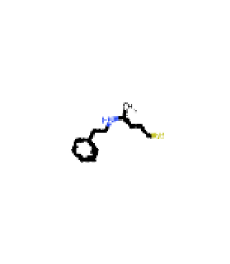 CC(CCCS)NCCc1ccccc1